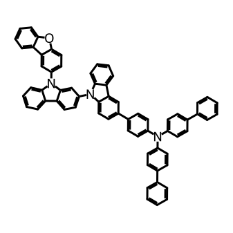 c1ccc(-c2ccc(N(c3ccc(-c4ccccc4)cc3)c3ccc(-c4ccc5c(c4)c4ccccc4n5-c4ccc5c6ccccc6n(-c6ccc7oc8ccccc8c7c6)c5c4)cc3)cc2)cc1